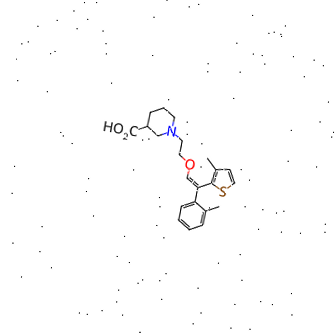 Cc1ccccc1C(=COCCN1CCCC(C(=O)O)C1)c1sccc1C